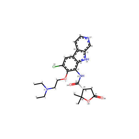 CCN(CC)CCOc1c(Cl)cc2c([nH]c3cnccc32)c1NC(=O)[C@@H]1CC(=O)OC1(C)C